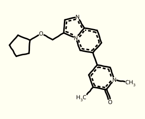 Cc1cc(-c2ccc3ncc(COC4CCCC4)n3c2)cn(C)c1=O